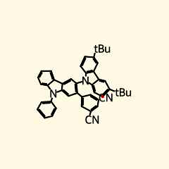 CC(C)(C)c1ccc2c(c1)c1cc(C(C)(C)C)ccc1n2-c1cc2c3ccccc3n(-c3ccccc3)c2cc1-c1cc(C#N)cc(C#N)c1